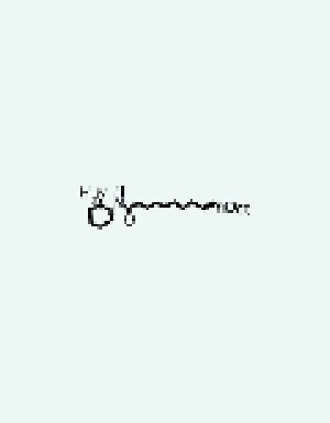 CCCCCCCCC=CCCCCCCCC(=O)N[C@@H]1CCCC[C@H]1N